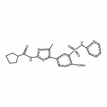 COc1ccc(-c2sc(NC(=O)C3CCCC3)nc2C)cc1S(=O)(=O)Nc1ccccn1